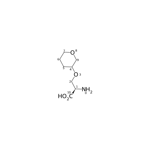 N[C@H](COC1CCCOC1)C(=O)O